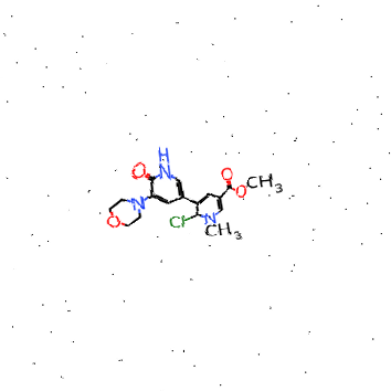 COC(=O)C1=CN(C)C(Cl)C(c2c[nH]c(=O)c(N3CCOCC3)c2)=C1